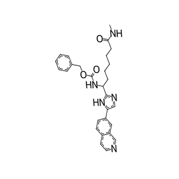 CNC(=O)CCCCCC(NC(=O)OCc1ccccc1)c1ncc(-c2ccc3ccncc3c2)[nH]1